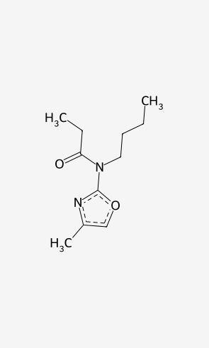 CCCCN(C(=O)CC)c1nc(C)co1